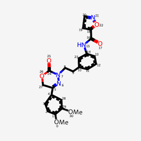 COc1ccc(C2=NN(CCc3cccc(NC(=O)c4ccno4)c3)C(=O)OC2)cc1OC